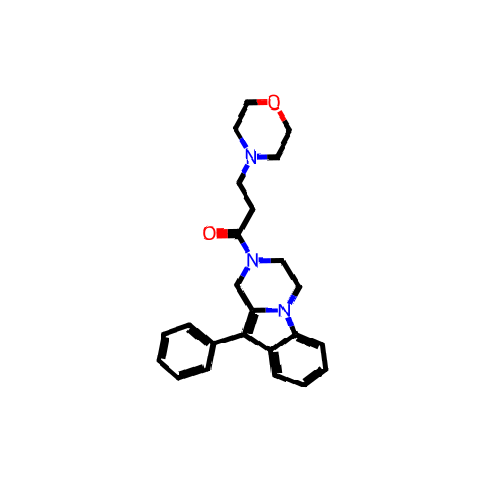 O=C(CCN1CCOCC1)N1CCn2c(c(-c3ccccc3)c3ccccc32)C1